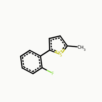 Cc1ccc(-c2ccccc2F)s1